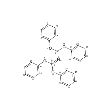 c1ccc(OP(N=[PH](Oc2ccccc2)Oc2ccccc2)Oc2ccccc2)cc1